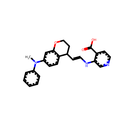 CN(c1ccccc1)c1ccc2c(c1)OCCC2/C=C/Nc1cnccc1C(=O)O